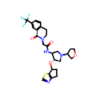 O=C(CN1CCc2ccc(C(F)(F)F)cc2C1=O)NC1CN(C2CCOC2)C[C@@H]1OC1CCc2ncsc21